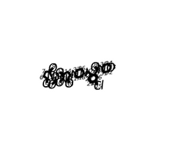 O=C(ON1C(=O)CCC1=O)ON1C(=O)CC(N2CCN(Cc3ccc(Cl)cc3C(=O)N3CCOCC3)CC2)C1=O